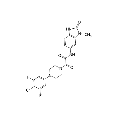 Cn1c(=O)[nH]c2ccc(NC(=O)C(=O)N3CCN(c4cc(F)c(Cl)c(F)c4)CC3)cc21